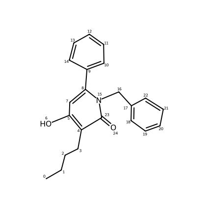 CCCCc1c(O)cc(-c2ccccc2)n(Cc2ccccc2)c1=O